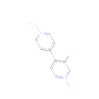 CCCCCC[n+]1ccc(-c2cc[n+](C)cc2C)cc1